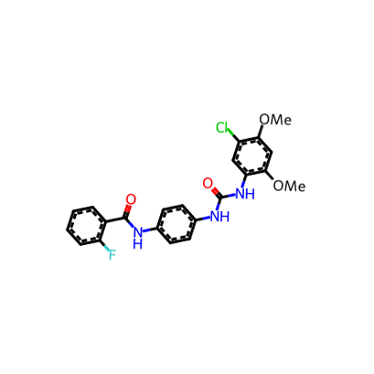 COc1cc(OC)c(NC(=O)Nc2ccc(NC(=O)c3ccccc3F)cc2)cc1Cl